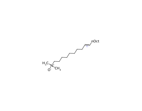 CCCCCCCC/C=C/CCCCCCCC[N+](C)(C)[O-]